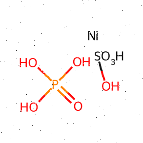 O=P(O)(O)O.O=S(=O)(O)O.[Ni]